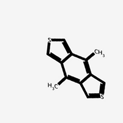 Cc1c2c(c(C)c3cscc13)C=S=C2